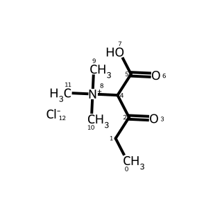 CCC(=O)C(C(=O)O)[N+](C)(C)C.[Cl-]